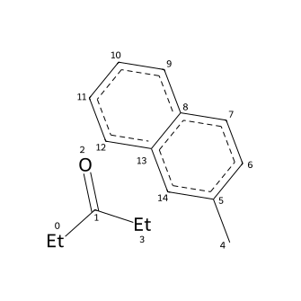 CCC(=O)CC.Cc1ccc2ccccc2c1